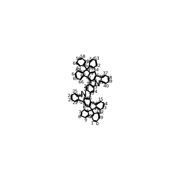 c1ccc(C2(c3ccccc3)c3ccccc3-c3c2cc2c4ccccc4n4c5cc6c7c8c(cc9c%10ccccc%10n(c6cc5c3c24)c97)C(c2ccccc2)(c2ccccc2)c2ccccc2-8)cc1